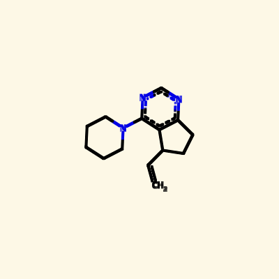 C=CC1CCc2ncnc(N3CCCCC3)c21